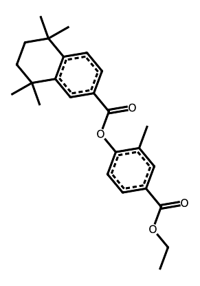 CCOC(=O)c1ccc(OC(=O)c2ccc3c(c2)C(C)(C)CCC3(C)C)c(C)c1